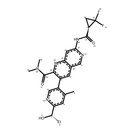 CC[C@H](O)c1cc(C)c(-c2cc3cnc(NC(=O)[C@H]4CC4(F)F)cc3nc2C(=O)N(C)C)cn1